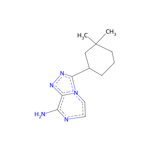 CC1(C)CCCC(c2nnc3c(N)nccn23)C1